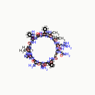 CCCC[C@H]1C(=O)N(C)[C@@H](CCCC)C(=O)N[C@@H](CCCNC(=N)N)C(=O)N[C@H](C(=O)NCC(N)=O)CSCC(=O)N[C@@H](Cc2ccccc2)C(=O)N(C)[C@@H](C)C(=O)N[C@@H](CC(N)=O)C(=O)N2C[C@H](N)CC2C(=O)N[C@@H](Cc2cnc[nH]2)C(=O)N[C@@H](CC(C)C)C(=O)N(C)CC(=O)N[C@@H](Cc2c[nH]c3ccccc23)C(=O)N[C@@H](CO)C(=O)N[C@@H](Cc2c[nH]c3ccccc23)C(=O)N1C